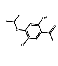 CC(=O)c1cc(Cl)c(OC(C)C)cc1O